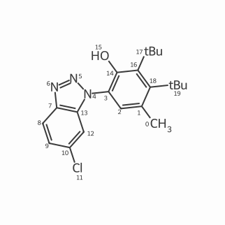 Cc1cc(-n2nnc3ccc(Cl)cc32)c(O)c(C(C)(C)C)c1C(C)(C)C